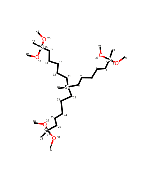 CO[Si](C)(CCCCC[Si](C)(CCCCC[Si](C)(OC)OC)CCCCC[Si](C)(OC)OC)OC